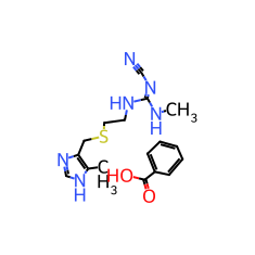 CN/C(=N/C#N)NCCSCc1nc[nH]c1C.O=C(O)c1ccccc1